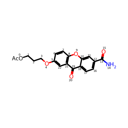 CC(=O)OCCCOc1ccc2oc3cc(C(N)=O)ccc3c(=O)c2c1